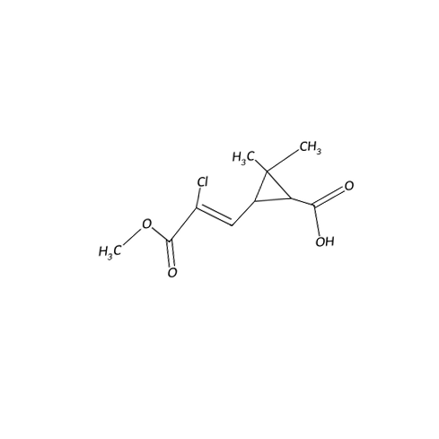 COC(=O)C(Cl)=CC1C(C(=O)O)C1(C)C